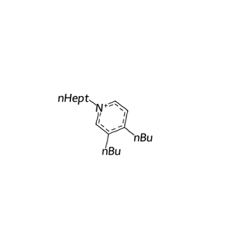 CCCCCCC[n+]1ccc(CCCC)c(CCCC)c1